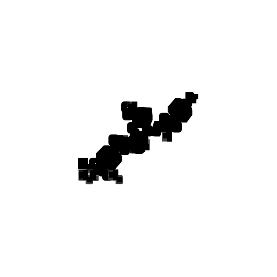 COc1ccccc1Oc1c(NS(=O)(=O)c2ccc(C(C)(C)C)cc2)ncnc1OCCNS(=O)(=O)c1ccc(Br)cc1